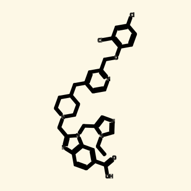 CCn1cncc1Cn1c(CN2CCC(Cc3ccnc(COc4ccc(Cl)cc4Cl)c3)CC2)nc2ccc(C(=O)O)cc21